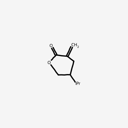 C=C1CC(C(C)C)COC1=O